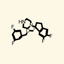 Fc1cc(F)cc(COC[C@]2(N3CCNCC3)CCc3cc(F)c(F)cc32)c1